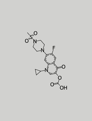 CS(=O)(=O)N1CCN(c2cc3c(cc2F)c(=O)c(OC(=O)O)cn3C2CC2)CC1